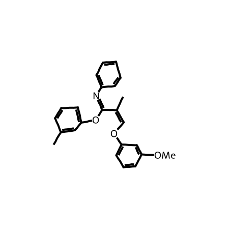 COc1cccc(OC=C(C)C(=Nc2ccccc2)Oc2cccc(C)c2)c1